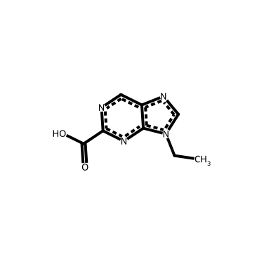 CCn1cnc2cnc(C(=O)O)nc21